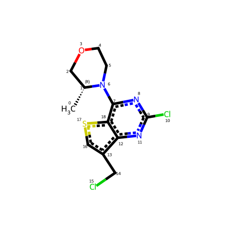 C[C@@H]1COCCN1c1nc(Cl)nc2c(CCl)csc12